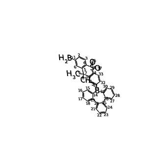 Bc1ccc2c(c1)C(C)(C)c1cc(B3c4ccccc4-c4ccccc4-c4ccccc43)ccc1S2(=O)=O